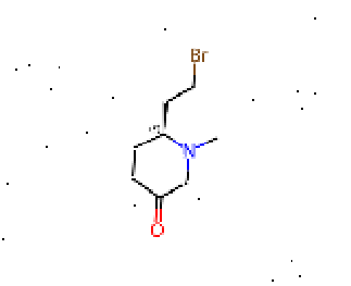 CN1CC(=O)CC[C@H]1CCBr